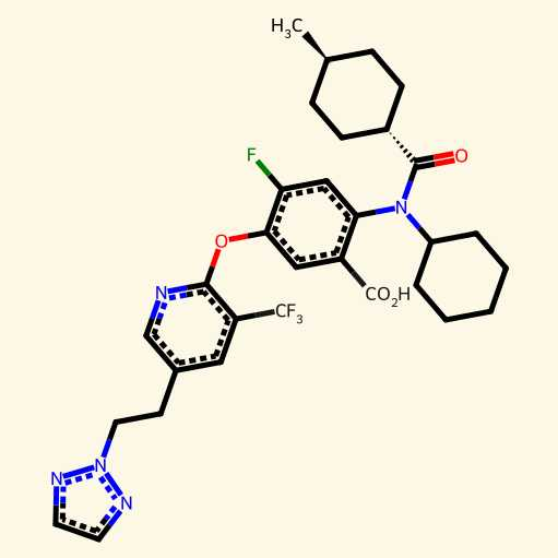 C[C@H]1CC[C@H](C(=O)N(c2cc(F)c(Oc3ncc(CCn4nccn4)cc3C(F)(F)F)cc2C(=O)O)C2CCCCC2)CC1